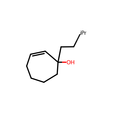 CC(C)CCC1(O)C=CCCCC1